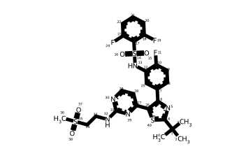 CC(C)(C)c1nc(-c2ccc(F)c(NS(=O)(=O)c3c(F)cccc3F)c2)c(-c2ccnc(NCCS(C)(=O)=O)n2)s1